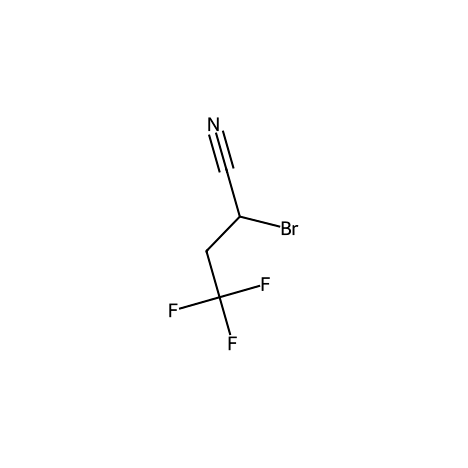 N#CC(Br)CC(F)(F)F